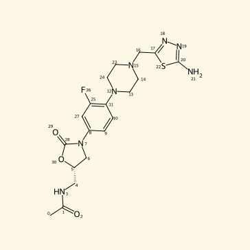 CC(=O)NC[C@H]1CN(c2ccc(N3CCN(Cc4nnc(N)s4)CC3)c(F)c2)C(=O)O1